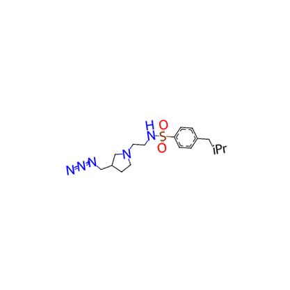 CC(C)Cc1ccc(S(=O)(=O)NCCN2CCC(CN=[N+]=[N-])C2)cc1